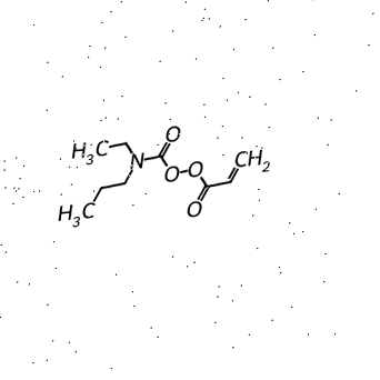 C=CC(=O)OOC(=O)N(CC)CCC